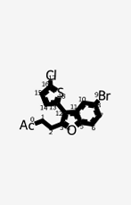 CC(=O)CCc1oc2ccc(Br)cc2c1-c1ccc(Cl)s1